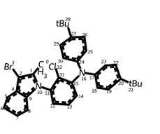 Cc1c(Br)c2ccccc2n1-c1cccc(N(c2ccc(C(C)(C)C)cc2)c2ccc(C(C)(C)C)cc2)c1Cl